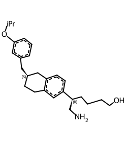 CC(C)Oc1cccc(C[C@@H]2CCc3cc([C@H](CN)CCCCO)ccc3C2)c1